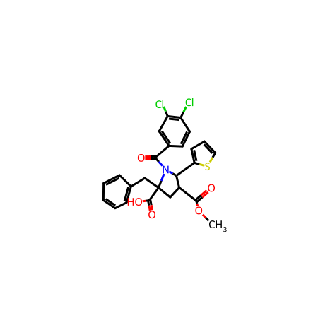 COC(=O)C1CC(Cc2ccccc2)(C(=O)O)N(C(=O)c2ccc(Cl)c(Cl)c2)C1c1cccs1